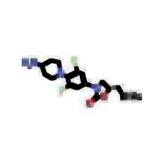 CC(=O)NC[C@H]1CN(c2cc(F)c(N3CCC(N)CC3)c(F)c2)C(=O)O1